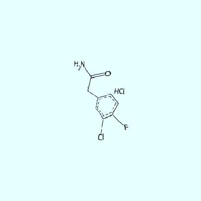 Cl.NC(=O)Cc1ccc(F)c(Cl)c1